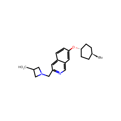 CC(C)(C)[C@H]1CC[C@H](Oc2ccc3cc(CN4CC(C(=O)O)C4)ncc3c2)CC1